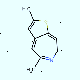 CC1=NCC=c2sc(C)cc2=C1